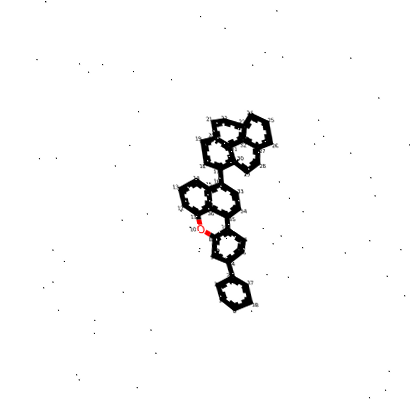 c1ccc(-c2ccc3c(c2)Oc2cccc4c(-c5ccc6ccc7cccc8ccc5c6c78)ccc-3c24)cc1